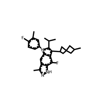 Cc1cc(-n2c(C(C)C)c(C3CC4(CC(C)C4)C3)c3c(F)c4[nH]nc(C)c4cc32)ccc1F